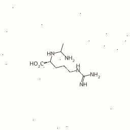 CC(N)N[C@@H](CCCNC(=N)N)C(=O)O